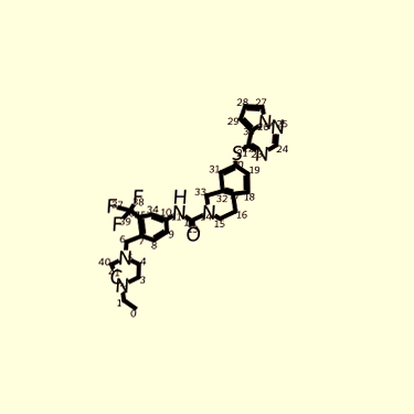 CCN1CCN(Cc2ccc(NC(=O)N3CCc4ccc(Sc5ncnn6cccc56)cc4C3)cc2C(F)(F)F)CC1